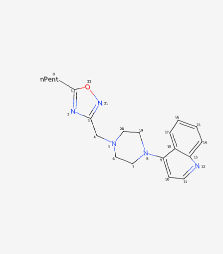 CCCCCc1nc(CN2CCN(c3ccnc4ccccc34)CC2)no1